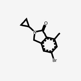 Cc1cc(Br)cc2c1C(=O)N(C1CC1)C2